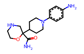 NC(=O)C1(C2CCN(c3ccc(N)cc3)CC2)CNCCO1